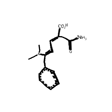 CN(C)C(=CC=C(C(N)=O)C(=O)O)c1ccccc1